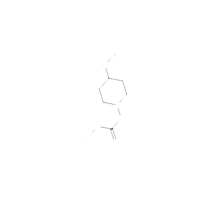 CC(C)NC1CCN(OC(=O)OC(C)(C)C)CC1